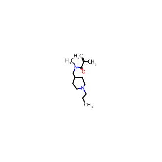 C=C(C)C(=O)N(C)CC1CCN(CCC)CC1